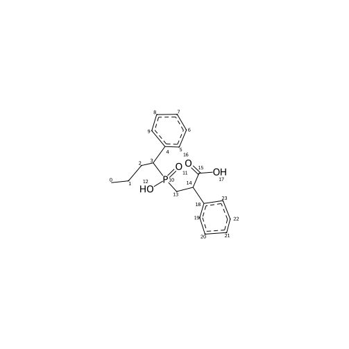 CCCC(c1ccccc1)P(=O)(O)CC(C(=O)O)c1ccccc1